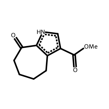 COC(=O)c1c[nH]c2c1CCCCC2=O